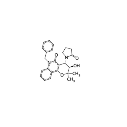 CC1(C)Oc2c(c(=O)n(Cc3ccccc3)c3ccccc23)[C@H](N2CCCC2=O)[C@H]1O